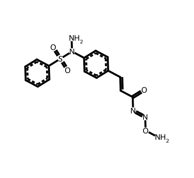 NON=NC(=O)/C=C/c1ccc(N(N)S(=O)(=O)c2ccccc2)cc1